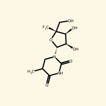 CC1CN([C@@H]2O[C@@](CO)(C(F)(F)F)[C@@H](O)[C@H]2O)C(=O)NC1=O